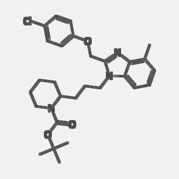 Cc1cccc2c1nc(COc1ccc(Cl)cc1)n2CCCC1CCCCN1C(=O)OC(C)(C)C